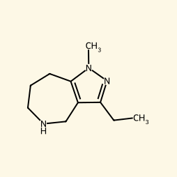 CCc1nn(C)c2c1CNCCC2